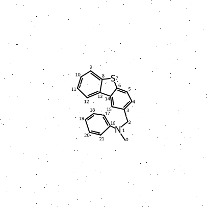 CN(Cc1ccc2sc3ccccc3c2c1)c1ccccc1